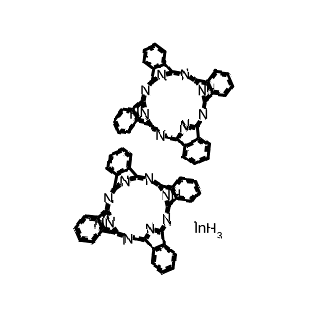 [InH3].c1ccc2c(c1)-c1nc-2nc2[nH]c(nc3nc(nc4[nH]c(n1)c1ccccc41)-c1ccccc1-3)c1ccccc21.c1ccc2c(c1)-c1nc-2nc2[nH]c(nc3nc(nc4[nH]c(n1)c1ccccc41)-c1ccccc1-3)c1ccccc21